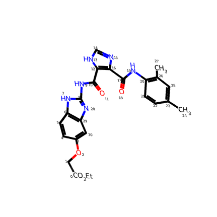 CCOC(=O)COc1ccc2[nH]c(NC(=O)c3[nH]cnc3C(=O)Nc3ccc(C)cc3C)nc2c1